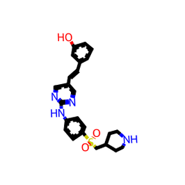 O=S(=O)(CC1CCNCC1)c1ccc(Nc2ncc(C=Cc3cccc(O)c3)cn2)cc1